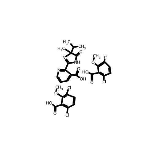 CC(C)C1(C)N=C(c2ncccc2C(=O)O)NC1=O.COc1c(Cl)ccc(Cl)c1C(=O)O.COc1c(Cl)ccc(Cl)c1C(=O)O